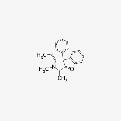 CC=C1N(C)C(C)C(=O)C1(c1ccccc1)c1ccccc1